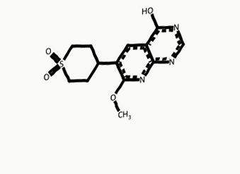 COc1nc2ncnc(O)c2cc1C1CCS(=O)(=O)CC1